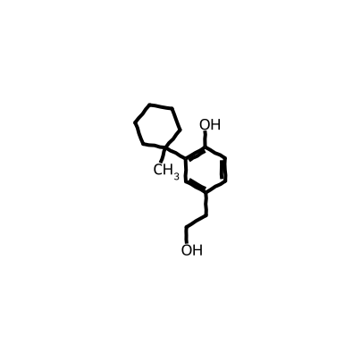 CC1(c2cc(CCO)ccc2O)CCCCC1